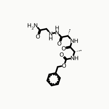 C[C@H](NC(=O)OCc1ccccc1)C(=O)N[C@@H](C)C(=O)NNCC(N)=O